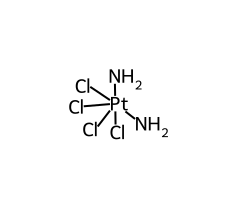 [NH2][Pt]([NH2])([Cl])([Cl])([Cl])[Cl]